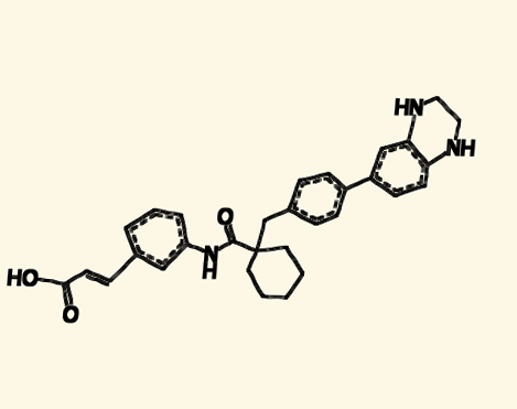 O=C(O)/C=C/c1cccc(NC(=O)C2(Cc3ccc(-c4ccc5c(c4)NCCN5)cc3)CCCCC2)c1